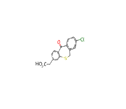 O=C(O)Cc1ccc2c(c1)SCc1cc(Cl)ccc1C2=O